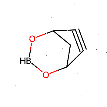 B1OC2C#CC(C2)O1